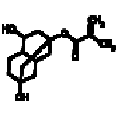 C=C(C)C(=O)OC12CC(O)C3CCC(O)(CC3C1)C2